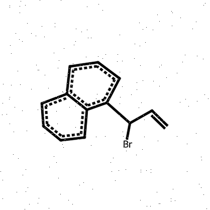 C=CC(Br)c1cccc2ccccc12